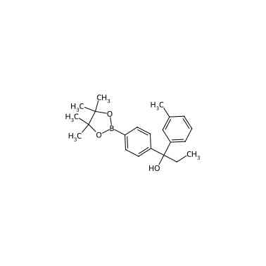 CCC(O)(c1ccc(B2OC(C)(C)C(C)(C)O2)cc1)c1cccc(C)c1